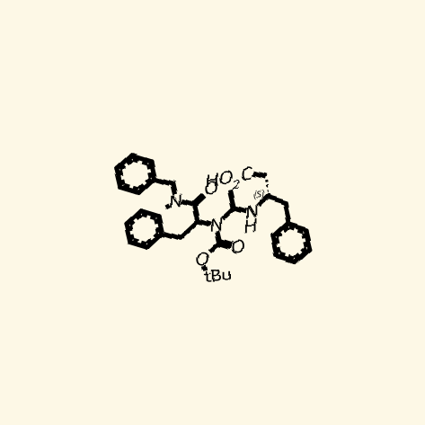 CC(N[C@H](CC(=O)O)Cc1ccccc1)N(C(=O)OC(C)(C)C)C(Cc1ccccc1)C(=O)N(C)Cc1ccccc1